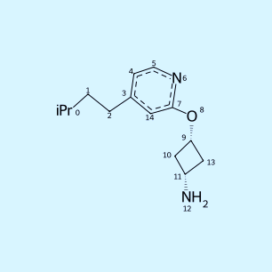 CC(C)CCc1ccnc(O[C@H]2C[C@@H](N)C2)c1